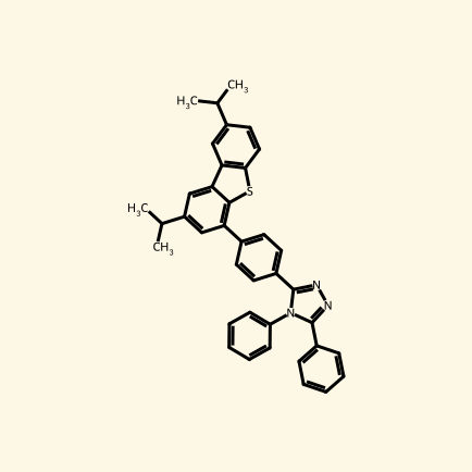 CC(C)c1ccc2sc3c(-c4ccc(-c5nnc(-c6ccccc6)n5-c5ccccc5)cc4)cc(C(C)C)cc3c2c1